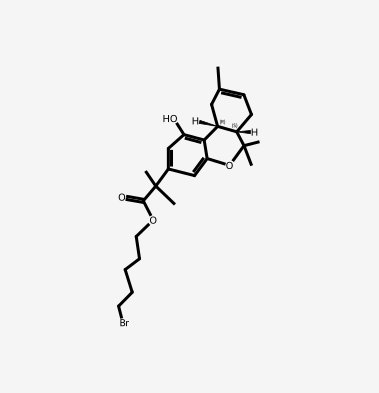 CC1=CC[C@H]2[C@@H](C1)c1c(O)cc(C(C)(C)C(=O)OCCCCCBr)cc1OC2(C)C